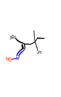 CC(C)C(C)(C)C(=NO)C(C)(C)C